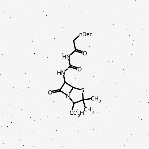 CCCCCCCCCCCC(=O)NC(=O)NC1C(=O)N2C1SC(C)(C)C2C(=O)O